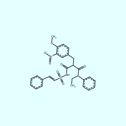 CCN(C(=O)C(Cc1ccc(OC)c([N+](=O)[O-])c1)C(=O)NS(=O)(=O)/C=C/c1ccccc1)c1ccccc1